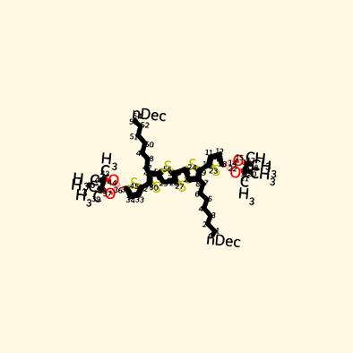 CCCCCCCCCCCCCCCCCc1c(-c2ccc(B3OC(C)(C)C(C)(C)O3)s2)sc2c1sc1c3sc(-c4ccc(B5OC(C)(C)C(C)(C)O5)s4)c(CCCCCCCCCCCCCCCCC)c3sc21